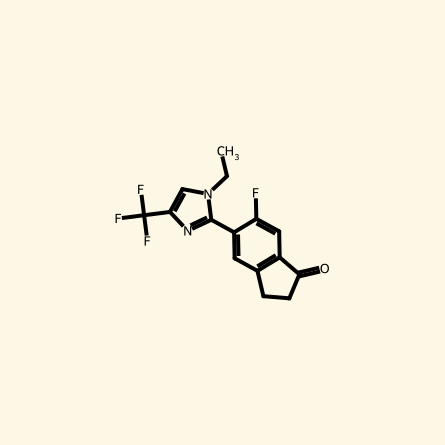 CCn1cc(C(F)(F)F)nc1-c1cc2c(cc1F)C(=O)CC2